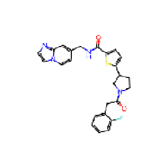 O=C(NCc1ccn2ccnc2c1)c1ccc(C2CCN(C(=O)Cc3ccccc3F)C2)s1